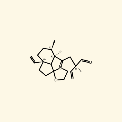 C=C[C@](C)(C=O)CC(=O)[C@@]1(C)C2C3(CC[C@]2(C=C)CC[C@H]1C)OCCO3